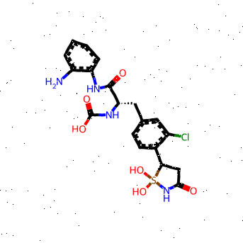 Nc1ccccc1NC(=O)[C@H](Cc1ccc(C2CC(=O)NS2(O)O)c(Cl)c1)NC(=O)O